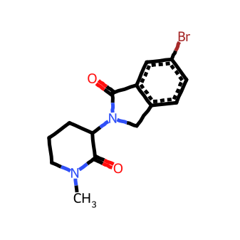 CN1CCCC(N2Cc3ccc(Br)cc3C2=O)C1=O